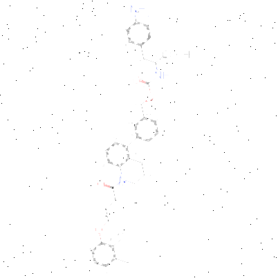 Cc1cccc(OCCCC(=O)N2CCCc3c(-c4cccc(COC(=O)NC(Cc5ccc(N)cc5)C(=O)O)c4)cccc32)c1C